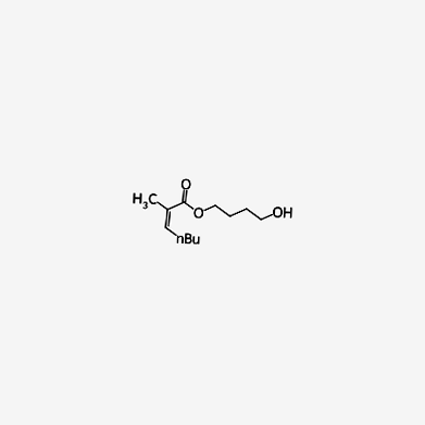 CCCCC=C(C)C(=O)OCCCCO